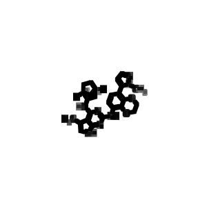 Cc1c[nH]c2nc(Nc3ccc(-c4ccnn4C)c4c3OCCO4)nc(NC3C[C@H]4CC[C@@H]3C4)c12